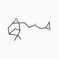 CC1(C)C2CC3OC3(CCOCC3CO3)C1C2